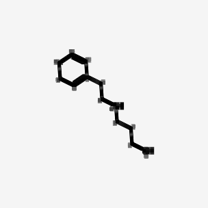 OCCCNCCC1=CC[CH]C=C1